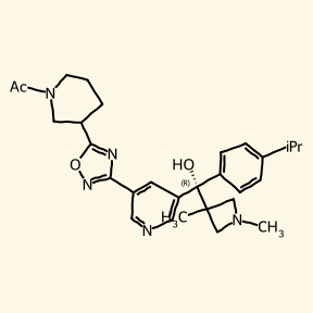 CC(=O)N1CCCC(c2nc(-c3cncc([C@@](O)(c4ccc(C(C)C)cc4)C4(C)CN(C)C4)c3)no2)C1